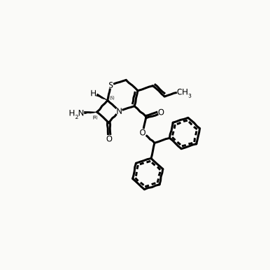 CC=CC1=C(C(=O)OC(c2ccccc2)c2ccccc2)N2C(=O)[C@@H](N)[C@@H]2SC1